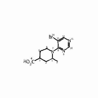 CC1CC(C(=O)O)CCN1c1ncncc1Br